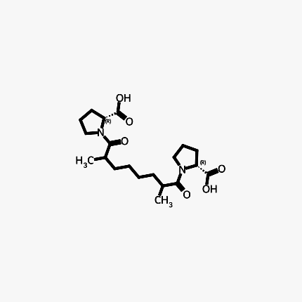 CC(CCCCC(C)C(=O)N1CCC[C@@H]1C(=O)O)C(=O)N1CCC[C@@H]1C(=O)O